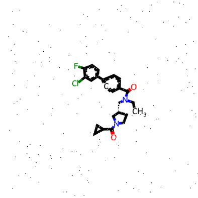 CCN(C[C@@H]1CCN(C(=O)C2CC2)C1)C(=O)c1ccc(-c2ccc(F)c(Cl)c2)cc1